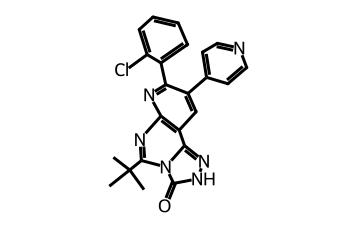 CC(C)(C)c1nc2nc(-c3ccccc3Cl)c(-c3ccncc3)cc2c2n[nH]c(=O)n12